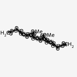 C=CC(=O)OCCOC(=O)CCC(=O)OC1CCC(C(=O)Oc2ccc(OC(=O)C3CCC(C(=O)Oc4ccc(OC(=O)C5CCC(OC(=O)CCC(=O)OCCOC(=O)C=C)CC5)cc4C(=O)OC)CC3)c(C(=O)OC)c2)CC1